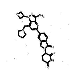 Nc1nn(C2COC2)c2c(CN3CCCC3)cc(-c3ccc4c(c3)CN(C3CCC(=O)NC3=O)C4=O)nc12